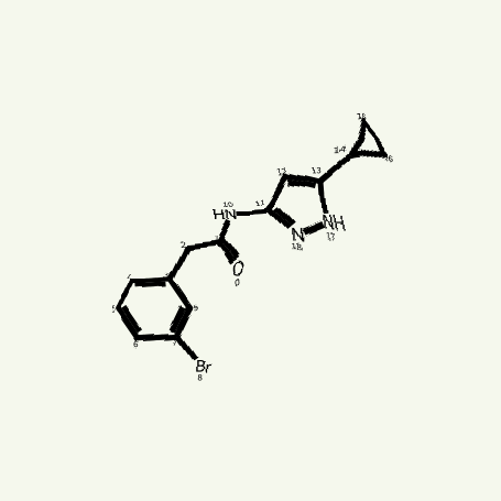 O=C(Cc1cccc(Br)c1)Nc1cc(C2CC2)[nH]n1